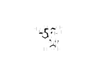 CO[C@@H]1[C@H](OC(=O)NC(CO)C(C)C)CC[C@]2(CO2)[C@H]1[C@@]1(C)O[C@@H]1CC=C(C)C